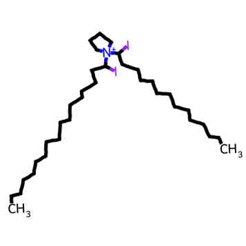 CCCCCCCCCCCCCCCCC(I)[N+]1(C(I)CCCCCCCCCCCCC)CCCC1